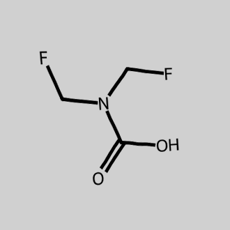 O=C(O)N(CF)CF